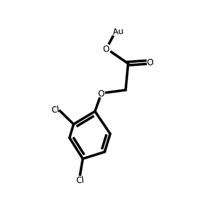 O=C(COc1ccc(Cl)cc1Cl)[O][Au]